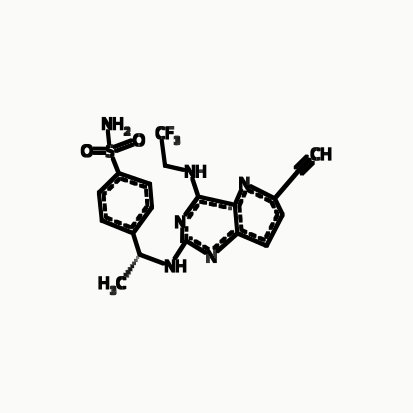 C#Cc1ccc2nc(N[C@H](C)c3ccc(S(N)(=O)=O)cc3)nc(NCC(F)(F)F)c2n1